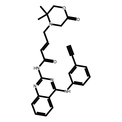 C#Cc1cccc(Nc2nc(NC(=O)C=CCN3CC(=O)OCC3(C)C)nc3ccccc23)c1